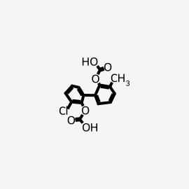 Cc1cccc(-c2cccc(Cl)c2OC(=O)O)c1OC(=O)O